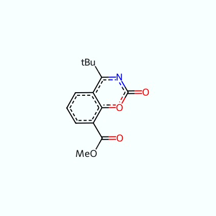 COC(=O)c1cccc2c(C(C)(C)C)nc(=O)oc12